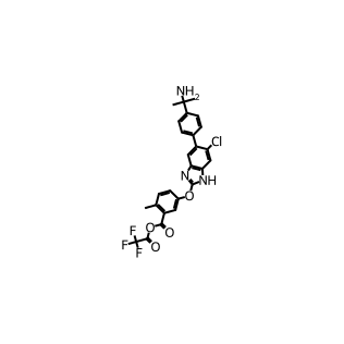 Cc1ccc(Oc2nc3cc(-c4ccc(C(C)(C)N)cc4)c(Cl)cc3[nH]2)cc1C(=O)OC(=O)C(F)(F)F